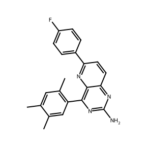 Cc1cc(C)c(-c2nc(N)nc3ccc(-c4ccc(F)cc4)nc23)cc1C